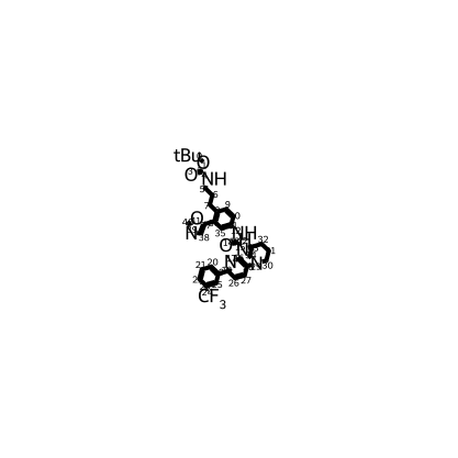 CC(C)(C)OC(=O)NCCCc1ccc(NC(=O)N2c3nc(-c4cccc(C(F)(F)F)c4)ccc3N3CCC[C@H]2C3)cc1-c1cnco1